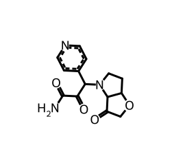 NC(=O)C(=O)C(c1ccncc1)N1CCC2OCC(=O)C21